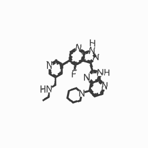 CCNCc1cncc(-c2cnc3[nH]nc(-c4nc5c(N6CCCCC6)ccnc5[nH]4)c3c2F)c1